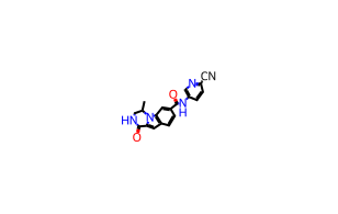 CC1CNC(=O)c2cc3ccc(C(=O)Nc4ccc(C#N)nc4)cc3n21